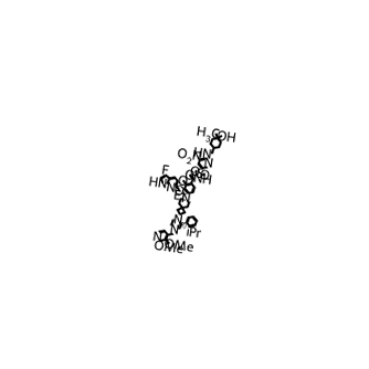 CCOc1nc2[nH]cc(F)c2cc1Oc1cc(N2CCC3(CC2)CC(N2CCN(Cc4ccnc(OC)c4OC)C[C@H]2c2ccccc2C(C)C)C3)ccc1C(=O)NS(=O)(=O)c1cnc(NCC2CCC(C)(O)CC2)c([N+](=O)[O-])c1